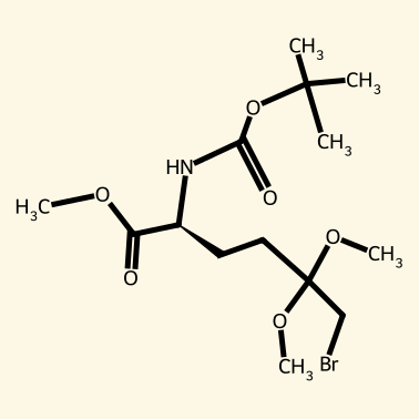 COC(=O)[C@H](CCC(CBr)(OC)OC)NC(=O)OC(C)(C)C